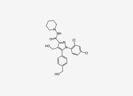 O=C(NN1CCCCC1)c1nn(-c2ccc(Cl)cc2Cl)c(-c2ccc(CO)cc2)c1CO